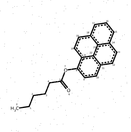 CCCCCC(=O)Oc1ccc2ccc3cccc4ccc1c2c34